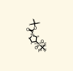 CC(C)(C)OC(=O)N1CCC(S(=O)(=O)C(F)(F)F)C1